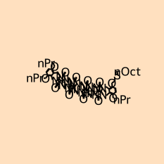 CCCCCCCCSCCOc1ccc(OCCC)c2c1CN1C(=O)N3CN4C(=O)N5CN6C(=O)N7CN8C(=O)N9Cc%10c(OCCC)ccc(OCCC)c%10CN%10C(=O)N(CN%11C(=O)N(CN%12C(=O)N(CN%13C(=O)N(C2)[C@]1(C)[C@]%133C)[C@@H]4[C@H]%125)[C@@H]6[C@H]%117)[C@]8(C)[C@]%109C